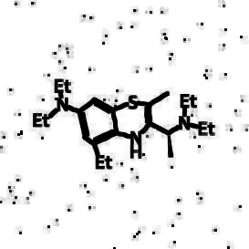 CCc1cc(N(CC)CC)cc2c1NC([C@H](C)N(CC)CC)=C(C)S2